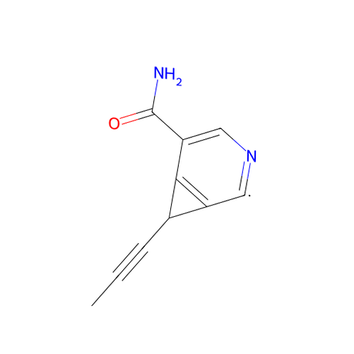 CC#CC1c2[c]ncc(C(N)=O)c21